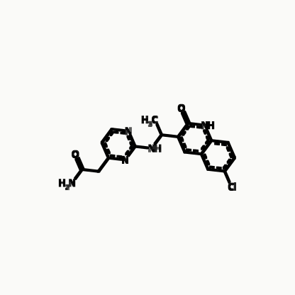 CC(Nc1nccc(CC(N)=O)n1)c1cc2cc(Cl)ccc2[nH]c1=O